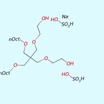 CCCCCCCCOCC(COCCO)(COCCO)COCCCCCCCC.O=S(=O)(O)O.O=S(=O)(O)O.[Na]